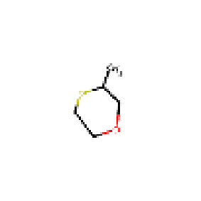 CC1[CH]OCCS1